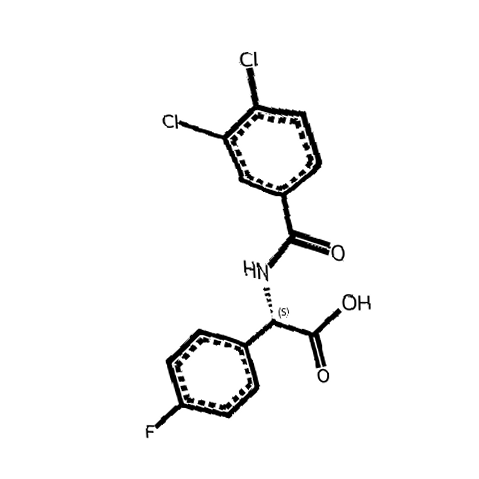 O=C(N[C@H](C(=O)O)c1ccc(F)cc1)c1ccc(Cl)c(Cl)c1